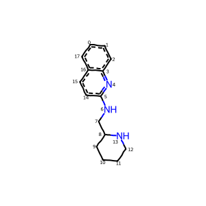 c1ccc2nc(NCC3CCCCN3)ccc2c1